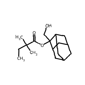 CCC(C)(C)C(=O)OC1(CO)C2CC3CC(C2)CC1C3